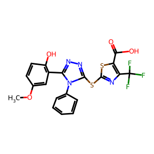 COc1ccc(O)c(-c2nnc(Sc3nc(C(F)(F)F)c(C(=O)O)s3)n2-c2ccccc2)c1